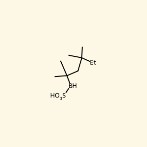 CCC(C)(C)CC(C)(C)BS(=O)(=O)O